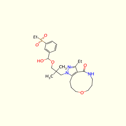 CCc1nn(CC(C)(C)COC(O)c2cccc(S(=O)(=O)CC)c2)c2c1C(=O)NCCCOCCC2